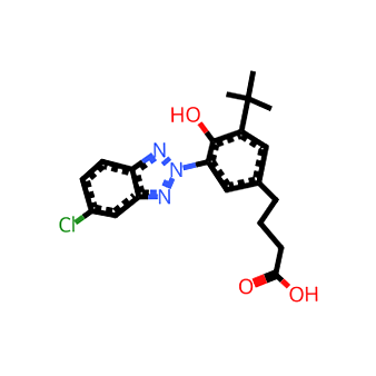 CC(C)(C)c1cc(CCCC(=O)O)cc(-n2nc3ccc(Cl)cc3n2)c1O